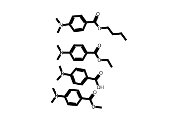 CCCCOC(=O)c1ccc(N(C)C)cc1.CCOC(=O)c1ccc(N(C)C)cc1.CN(C)c1ccc(C(=O)O)cc1.COC(=O)c1ccc(N(C)C)cc1